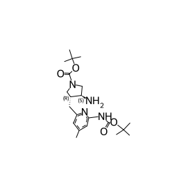 Cc1cc(C[C@@H]2CN(C(=O)OC(C)(C)C)C[C@H]2N)nc(NC(=O)OC(C)(C)C)c1